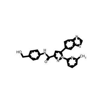 Cc1cccc(-n2nc(C(=O)Nc3ccc(CO)cc3)cc2-c2ccc3ncsc3c2)n1